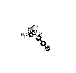 CC1(C(F)F)OC1(CCn1ccc(-c2ccc(-n3nccn3)cc2)cc1=O)C(=O)NO